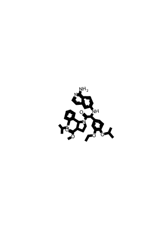 CCOc1cc(C(Nc2ccc3c(N)nccc3c2)C(=O)N2CCC(C(=O)OC)C2c2ccccc2SC(C)C)ccc1OC(C)C